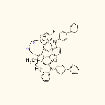 C=C1/C=C\C=C/CC2=C(c3ccccc31)c1c(cc(N(c3ccc(-c4ccccc4)cc3)c3ccccc3F)c3oc4ccc(N(c5ccc(-c6ccccc6)cc5)c5ccccc5F)cc4c13)C2(C)C